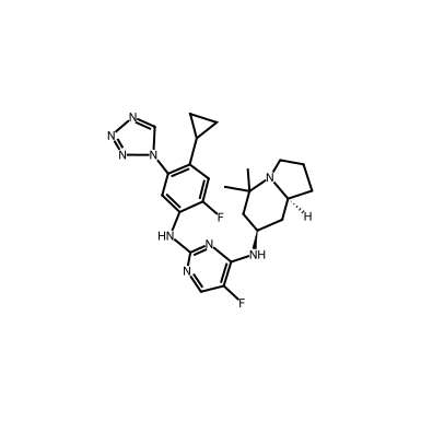 CC1(C)C[C@H](Nc2nc(Nc3cc(-n4cnnn4)c(C4CC4)cc3F)ncc2F)C[C@@H]2CCCN21